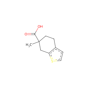 CC1(C(=O)O)CCc2ccsc2C1